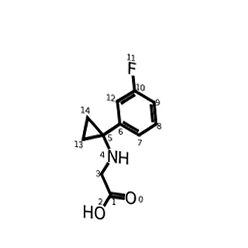 O=C(O)CNC1(c2cccc(F)c2)CC1